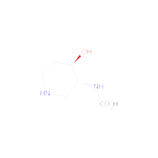 O=C(O)N[C@@H]1CNCC[C@H]1O